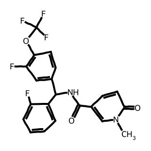 Cn1cc(C(=O)NC(c2ccc(OC(F)(F)F)c(F)c2)c2ccccc2F)ccc1=O